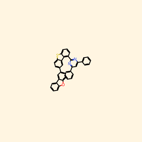 c1ccc(-c2cc(-c3ccccc3)nc(-c3cccc4sc5ccc(-c6ccc7oc8ccccc8c7c6)cc5c34)n2)cc1